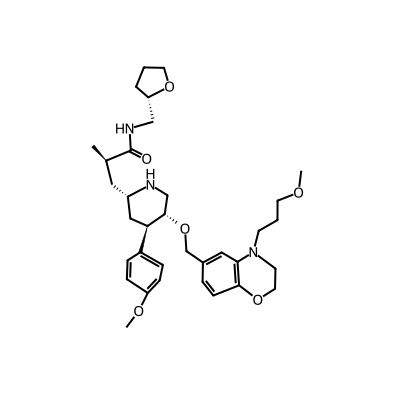 COCCCN1CCOc2ccc(CO[C@H]3CN[C@@H](C[C@@H](C)C(=O)NC[C@@H]4CCCO4)C[C@@H]3c3ccc(OC)cc3)cc21